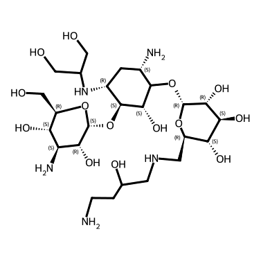 NCCC(O)CNC[C@H]1O[C@H](OC2[C@@H](N)C[C@@H](NC(CO)CO)[C@H](O[C@H]3O[C@H](CO)[C@@H](O)[C@H](N)[C@H]3O)[C@H]2O)[C@H](O)[C@@H](O)[C@@H]1O